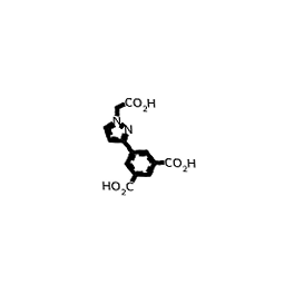 O=C(O)Cn1ccc(-c2cc(C(=O)O)cc(C(=O)O)c2)n1